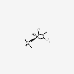 CN1C(=O)C(O)(C#C[Si](C)(C)C)CC1C(F)(F)F